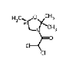 C[C@@H]1CN(C(=O)C(Cl)Cl)C(C)(C)O1